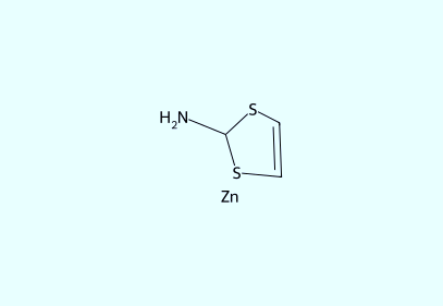 NC1SC=CS1.[Zn]